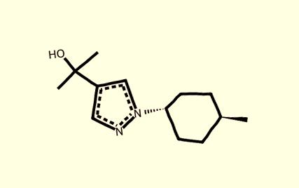 CC(C)(O)c1cnn([C@H]2CC[C@H](C)CC2)c1